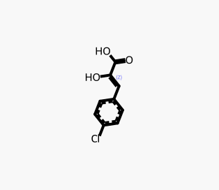 O=C(O)/C(O)=C/c1ccc(Cl)cc1